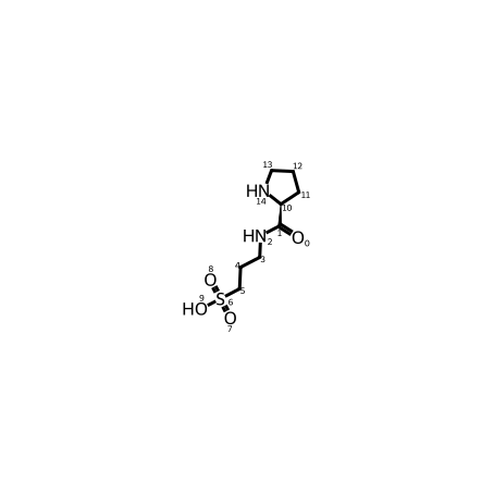 O=C(NCCCS(=O)(=O)O)[C@@H]1CCCN1